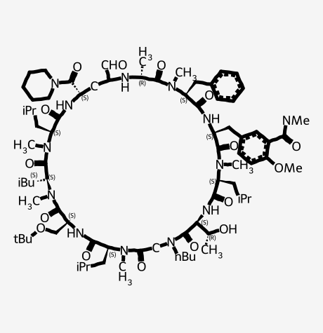 CCCCN1CC(=O)N(C)[C@@H](CC(C)C)C(=O)N[C@@H](COC(C)(C)C)C(=O)N(C)[C@@H]([C@@H](C)CC)C(=O)N(C)[C@@H](CC(C)C)C(=O)N[C@H](C(=O)N2CCCCC2)CC(C=O)N[C@H](C)C(=O)N(C)[C@@H](Cc2ccccc2)C(=O)N[C@@H](Cc2ccc(OC)c(C(=O)NC)c2)C(=O)N(C)[C@@H](CC(C)C)C(=O)N[C@@H]([C@@H](C)O)C1=O